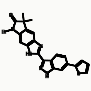 CCN1C(=O)C(C)(C)c2cc3nc(-c4n[nH]c5cc(-c6cccs6)ccc45)[nH]c3cc21